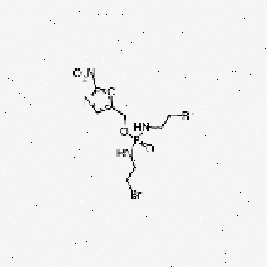 O=[N+]([O-])c1ncc(COP(=O)(NCCBr)NCCBr)o1